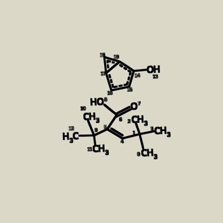 CC(C)(C)C=C(C(=O)O)C(C)(C)C.Oc1ccc2cc1-2